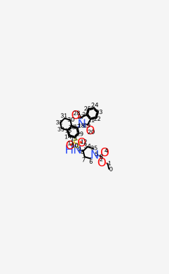 CCOC(=O)N1CCC(NS(=O)(=O)c2cc3c(c(N4C(=O)c5ccccc5C4=O)c2)CCCC3)CC1